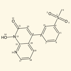 CS(=O)(=O)c1cccc(-c2cc(=O)n(O)c3ncccc23)c1